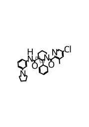 Cc1cc(Cl)cnc1C(=O)N1CCC[C@H](C(=O)Nc2cccc(N3CCCC3)c2)[C@@H]1C1C=CC=CC1